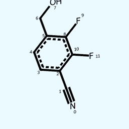 N#Cc1ccc(CO)c(F)c1F